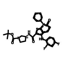 CC(C)(C)OC(=O)N1CC[C@@H](NC(=O)c2sc3c(ccc(=O)n3-c3ccccc3)c2Nc2ccc(F)cc2F)C1